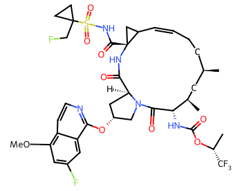 COc1cc(F)cc2c(O[C@@H]3C[C@H]4C(=O)N[C@]5(C(=O)NS(=O)(=O)C6(CF)CC6)CC5/C=C\CC[C@@H](C)C[C@@H](C)[C@H](NC(=O)O[C@H](C)C(F)(F)F)C(=O)N4C3)nccc12